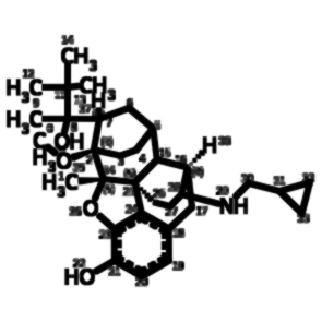 CO[C@]12CCC(C[C@@H]1C(C)(O)C(C)(C)C)C1[C@H]3Cc4ccc(O)c5c4[C@@]1(CCC3NCC1CC1)[C@]2(C)O5